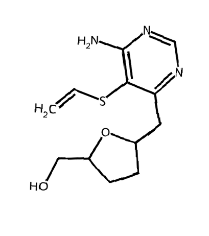 C=CSc1c(N)ncnc1CC1CCC(CO)O1